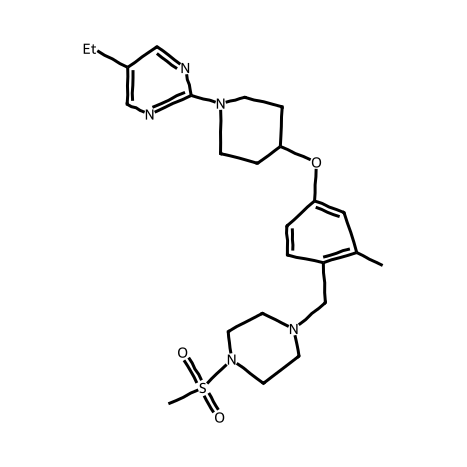 CCc1cnc(N2CCC(Oc3ccc(CN4CCN(S(C)(=O)=O)CC4)c(C)c3)CC2)nc1